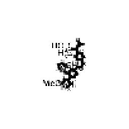 COc1cc(-c2ccc(C3CCc4ccc(C(C5CC5)[C@H](C)C(=O)O)cc4O3)cc2CN2CCC[C@H]2C)c(F)cn1